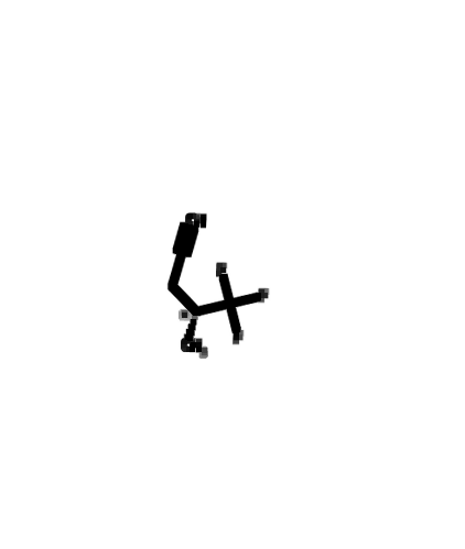 C#CC[C@@H](C)C(F)(F)F